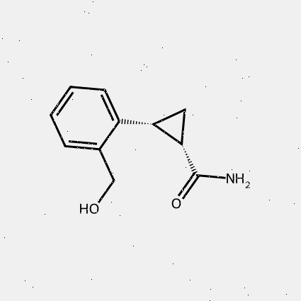 NC(=O)[C@H]1C[C@H]1c1ccccc1CO